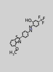 COc1cccc2sc(-c3ccc(/N=N/c4ccc(C(F)(F)F)cc4O)cc3)nc12